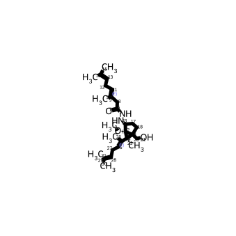 CO[C@]12C(NNC(=O)C/C(C)=C/CC=C(C)C)CCC1(CO)[C@@]2(C)/C(C)=C/CC=C(C)C